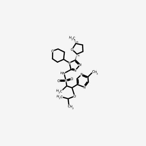 Cc1cnc(C(OC(C)C)C(C)S(=O)(=O)Nc2nnc([C@H]3CC[C@@H](C)O3)n2C2CCOCC2)cn1